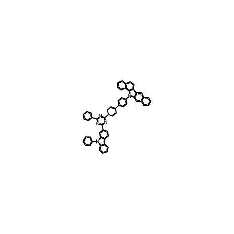 C1=CC(c2nc(-c3ccccc3)nc(-c3ccc4c5ccccc5n(-c5ccccc5)c4c3)n2)CC=C1c1ccc(-n2c3cc4ccccc4cc3c3ccc4ccccc4c32)cc1